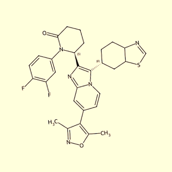 Cc1noc(C)c1-c1ccn2c([C@@H]3CCC4N=CSC4C3)c([C@@H]3CCCC(=O)N3c3ccc(F)c(F)c3)nc2c1